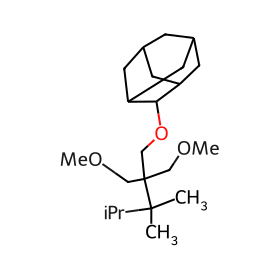 COCC(COC)(COC1C2CC3CC(C2)CC1C3)C(C)(C)C(C)C